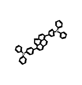 c1ccc(N(c2ccccc2)c2ccc(-c3ccc4ccc5c(-c6ccc(N(c7ccccc7)c7ccccc7)cc6)ccc6ccc3c4c65)cc2)cc1